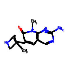 Cn1c(=O)c(C2(C)CNC2)cc2cnc(N)nc21